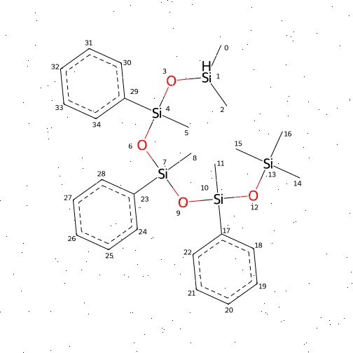 C[SiH](C)O[Si](C)(O[Si](C)(O[Si](C)(O[Si](C)(C)C)c1ccccc1)c1ccccc1)c1ccccc1